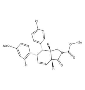 COc1ccc([C@H]2C=C[C@H]3C(=O)N(C(=O)OC(C)(C)C)C[C@H]3[C@H]2c2ccc(Cl)cc2)c(Cl)c1